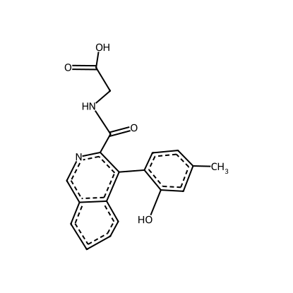 Cc1ccc(-c2c(C(=O)NCC(=O)O)ncc3ccccc23)c(O)c1